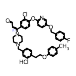 Cc1ccc(OCCc2ccc(CN3CCN(/C(=C/C=O)c4ccc(Oc5ccc(OCc6ccc(F)cc6)cn5)c(Cl)c4)CC3)cc2)cc1.Cl